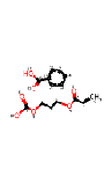 C=CC(=O)OCCCOC([O])=O.O=C(O)c1ccccc1